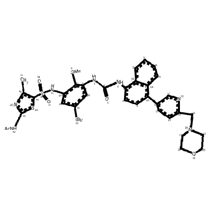 COc1c(NC(=O)Nc2ccc(-c3ccc(CN4CCOCC4)nc3)c3ccccc23)cc(C(C)(C)C)cc1NS(=O)(=O)c1sc(NC(C)=O)nc1C